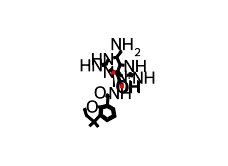 CC1(C)CCOc2c(C(=O)N[C@H]3CN4C(=N)NC(CN)C5NC(=N)N(O)C54[C@@]3(C)O)cccc21